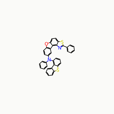 c1ccc(-c2nc3c(ccc4oc5ccc(N(c6ccccc6)c6cccc7sc8ccccc8c67)cc5c43)s2)cc1